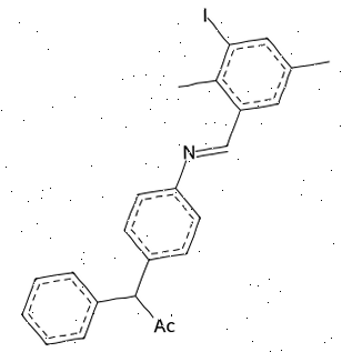 CC(=O)C(c1ccccc1)c1ccc(/N=C/c2cc(C)cc(I)c2C)cc1